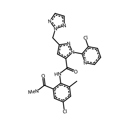 CNC(=O)c1cc(Cl)cc(C)c1NC(=O)c1cc(Cn2nccn2)nn1-c1ncccc1Cl